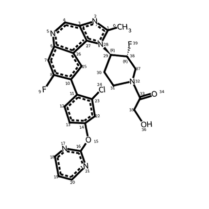 Cc1nc2cnc3cc(F)c(-c4ccc(Oc5ncccn5)cc4Cl)cc3c2n1[C@@H]1CCN(C(=O)CO)C[C@H]1F